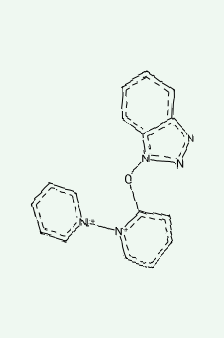 c1cc[n+](-[n+]2ccccc2On2nnc3ccccc32)cc1